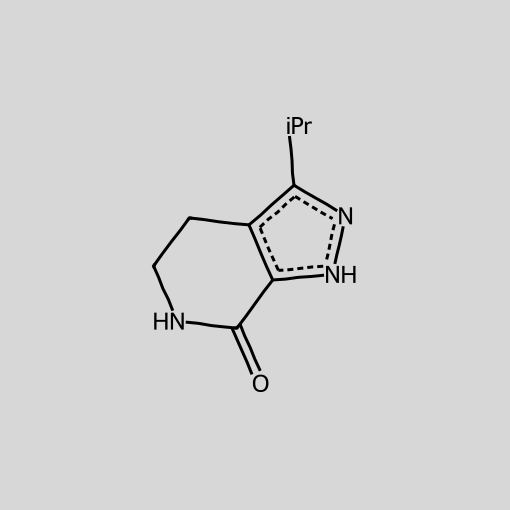 CC(C)c1n[nH]c2c1CCNC2=O